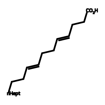 CCCCCCCCCC=CCCC=CCCC(=O)O